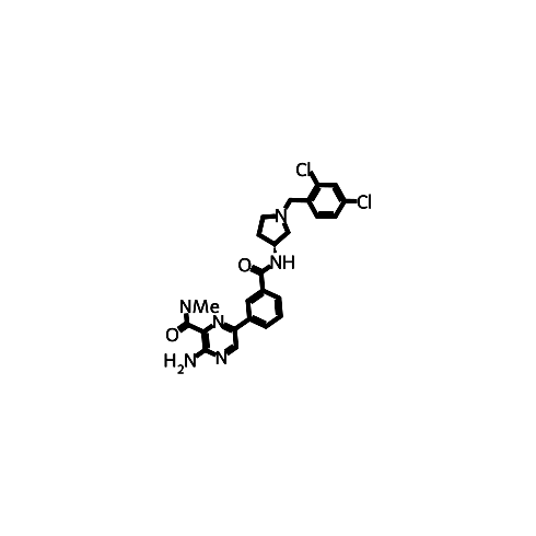 CNC(=O)c1nc(-c2cccc(C(=O)N[C@@H]3CCN(Cc4ccc(Cl)cc4Cl)C3)c2)cnc1N